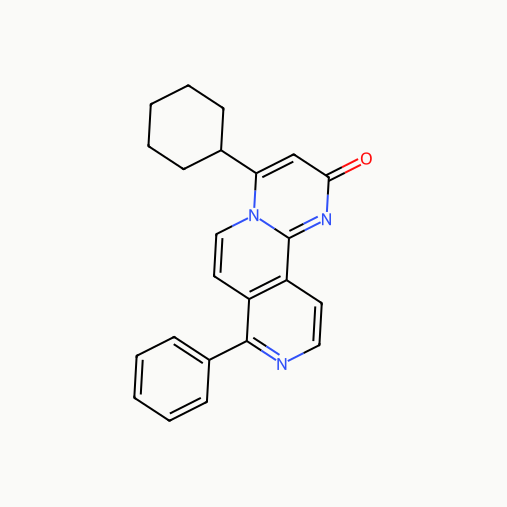 O=c1cc(C2CCCCC2)n2ccc3c(-c4ccccc4)nccc3c2n1